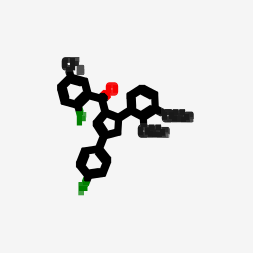 COc1cccc(C2CC(c3ccc(F)cc3)=CC2C(=O)c2cc(C(F)(F)F)ccc2F)c1OC